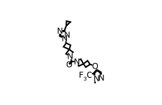 Cn1ncc(OC2CC3(C2)CN(C(=O)N2CC4(CC(n5cnc(C6CC6)n5)C4)C2)C3)c1C(F)(F)F